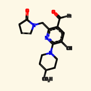 CCC(=O)c1cc(C#N)c(N2CCC(C(=O)O)CC2)nc1CN1CCCC1=O